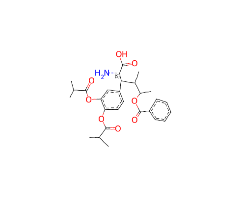 CC(C)C(=O)Oc1ccc(C(C(C)C(C)OC(=O)c2ccccc2)[C@H](N)C(=O)O)cc1OC(=O)C(C)C